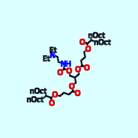 CCCCCCCCC(CCCCCCCC)C(=O)OCCCC(=O)OCC(COC(=O)CCCOC(=O)C(CCCCCCCC)CCCCCCCC)COC(=O)NCCN(CC)CC